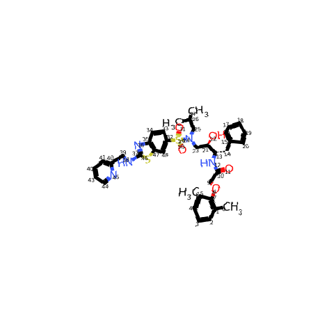 Cc1cccc(C)c1OCC(=O)N[C@@H](Cc1ccccc1)[C@H](O)CN(CC(C)C)S(=O)(=O)c1ccc2nc(NCc3ccccn3)sc2c1